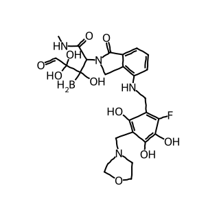 BC(O)(C(C(=O)NC)N1Cc2c(NCc3c(O)c(CN4CCOCC4)c(O)c(O)c3F)cccc2C1=O)C(O)(O)C=O